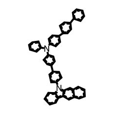 c1ccc(-c2ccc(-c3ccc(N(c4ccccc4)c4ccc(-c5ccc(-n6c7ccccc7c7cc8ccccc8cc76)cc5)cc4)cc3)cc2)cc1